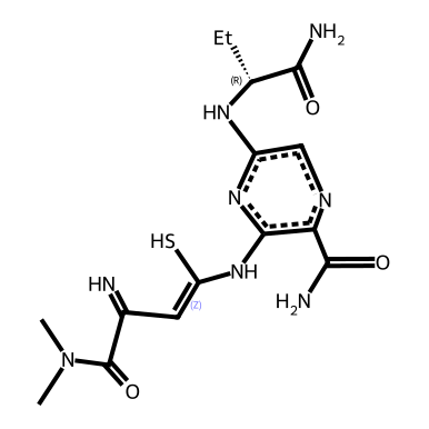 CC[C@@H](Nc1cnc(C(N)=O)c(N/C(S)=C/C(=N)C(=O)N(C)C)n1)C(N)=O